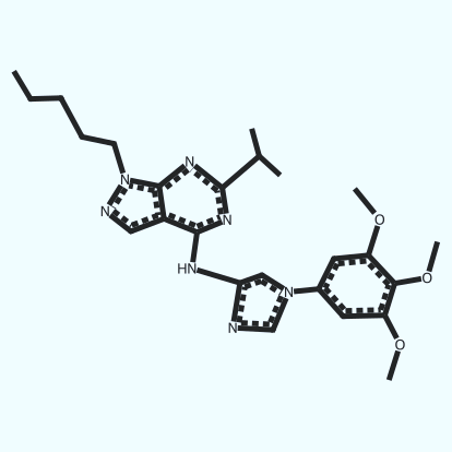 CCCCCn1ncc2c(Nc3cn(-c4cc(OC)c(OC)c(OC)c4)cn3)nc(C(C)C)nc21